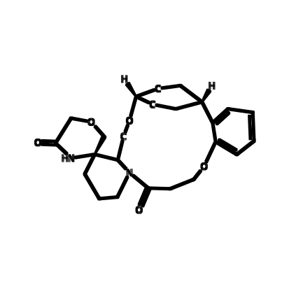 O=C1COC[C@@]2(CCCN3C(=O)CCOc4ccccc4[C@H]4CC[C@H](CC4)OCC32)N1